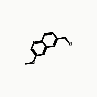 COc1cnc2ccc(CCl)cc2c1